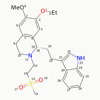 CCOc1cc2c(cc1OC)CCN(CCS(C)(=O)=O)[C@H]2CCc1c[nH]c2ccccc12